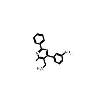 Cc1nc(-c2ccccc2)nc(-c2cccc([N+](=O)[O-])c2)c1CN